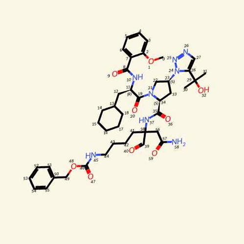 COc1ccccc1C(=O)N[C@H](CC1CCCCC1)C(=O)N1C[C@@H](n2nncc2C(C)(C)O)C[C@H]1C(=O)NC(C=O)(CCCCNC(=O)OCc1ccccc1)CC(N)=O